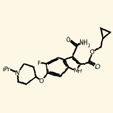 CC(C)N1CCC(Oc2cc3[nH]c(C(=O)OCC4CC4)c(C(N)=O)c3cc2F)CC1